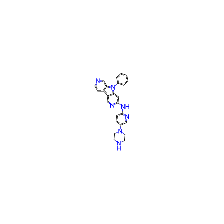 c1ccc(-n2c3cnccc3c3cnc(Nc4ccc(N5CCNCC5)cn4)cc32)cc1